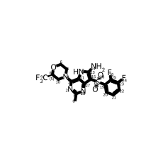 Cc1nc(N2CCO[C@H](C(F)(F)F)C2)c2[nH]c(N)c(S(=O)(=O)c3cccc(F)c3F)c2n1